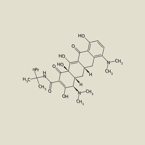 CCCC(C)(C)NC(=O)C1=C(O)[C@H](N(C)C)[C@H]2C[C@H]3Cc4c(N(C)C)ccc(O)c4C(=O)C3=C(O)[C@@]2(O)C1=O